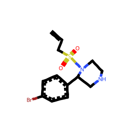 C=CCS(=O)(=O)N1CCNCC1c1ccc(Br)cc1